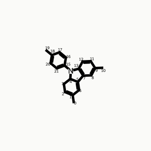 CC1=CCC2C(=C1)c1cc(C)ccc1N2c1ccc(C)cc1